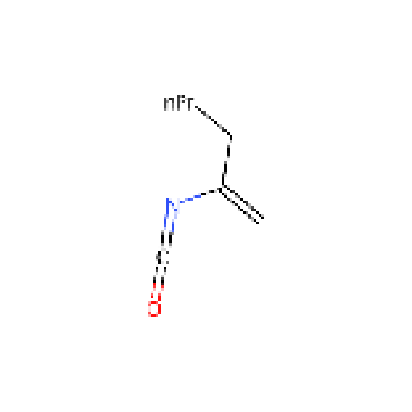 C=C(CCCC)N=C=O